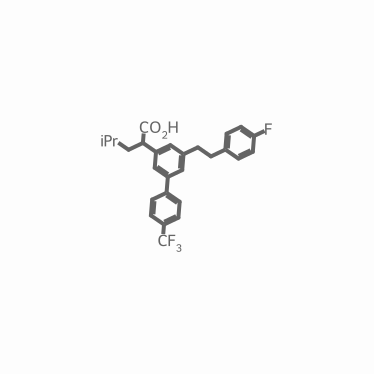 CC(C)CC(C(=O)O)c1cc(CCc2ccc(F)cc2)cc(-c2ccc(C(F)(F)F)cc2)c1